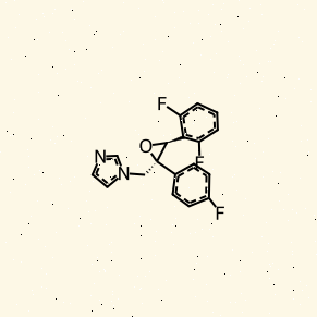 Fc1ccc([C@@]2(Cn3ccnc3)O[C@H]2c2c(F)cccc2F)cc1